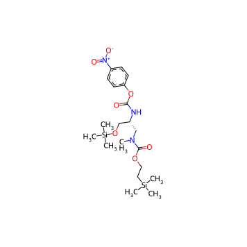 CN(C[C@H](CO[Si](C)(C)C)NC(=O)Oc1ccc([N+](=O)[O-])cc1)C(=O)OCC[Si](C)(C)C